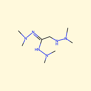 CN(C)N=C(CNN(C)C)NN(C)C